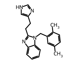 Cc1ccc(C)c(Cn2c(CCc3c[nH]cn3)nc3ccccc32)c1